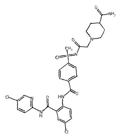 CS(=O)(=NC(=O)CN1CCC(C(N)=O)CC1)c1ccc(C(=O)Nc2ccc(Cl)cc2C(=O)Nc2ccc(Cl)cn2)cc1